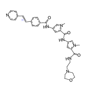 Cn1cc(NC(=O)c2cc(NC(=O)c3ccc(/C=C/c4ccncc4)cc3)cn2C)cc1C(=O)NCCN1CCOCC1